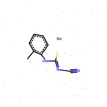 Cc1ccccc1N/C([S-])=N/C#N.[Na+]